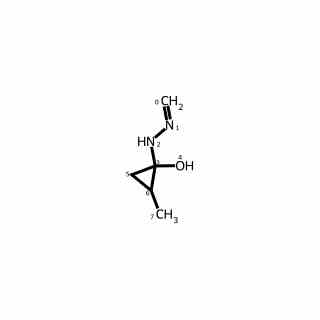 C=NNC1(O)CC1C